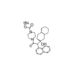 CC(C)(C)OC(=O)N1CCN(C(=O)C(c2cccc3ccccc23)C2(O)CCC3CCCCC3C2)CC1